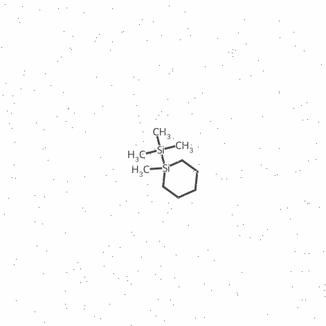 C[Si](C)(C)[Si]1(C)CCCCC1